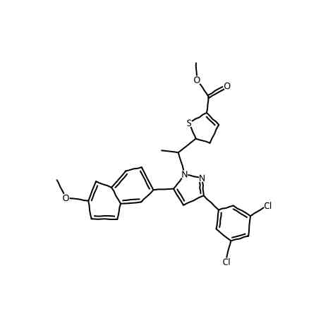 COC(=O)C1=CCC(C(C)n2nc(-c3cc(Cl)cc(Cl)c3)cc2-c2ccc3cc(OC)ccc3c2)S1